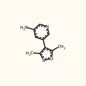 Cc1noc(C)c1-c1cncc(N)c1